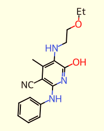 CCOCCNc1c(O)nc(Nc2ccccc2)c(C#N)c1C